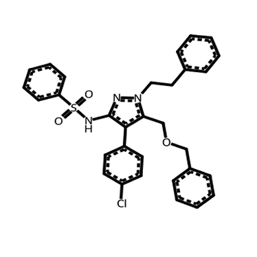 O=S(=O)(Nc1nn(CCc2ccccc2)c(COCc2ccccc2)c1-c1ccc(Cl)cc1)c1ccccc1